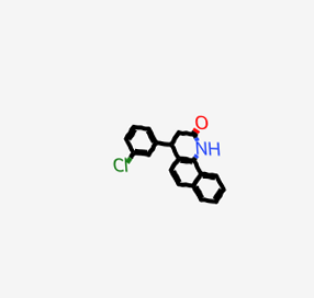 O=C1CC(c2cccc(Cl)c2)c2ccc3ccccc3c2N1